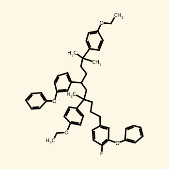 CCOc1ccc(C(C)(C)CCC(CC(C)(CCCc2ccc(F)c(Oc3ccccc3)c2)c2ccc(OCC)cc2)c2cccc(Oc3ccccc3)c2)cc1